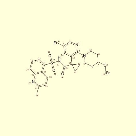 CCc1cnc(N2CCC(OC(C)C)CC2)c(C2(C(=O)NS(=O)(=O)c3cccc4nc(C)ccc34)CC2)c1